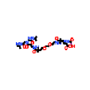 CC(C)NC(=O)CN(CC(=O)NC(C)C)C(=O)CCNC(=O)C(C)(C)CCOCCOCCNC(=O)C(C)(C)CCC(NC(=O)I)C(=O)O